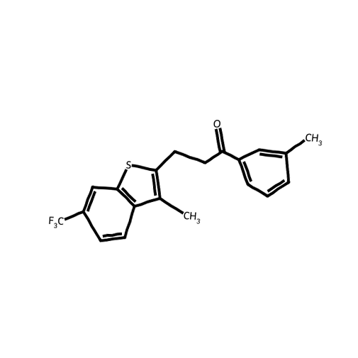 Cc1cccc(C(=O)CCc2sc3cc(C(F)(F)F)ccc3c2C)c1